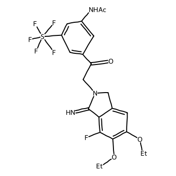 CCOc1cc2c(c(F)c1OCC)C(=N)N(CC(=O)c1cc(NC(C)=O)cc(S(F)(F)(F)(F)F)c1)C2